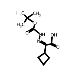 CC(C)(C)OC(=O)NN=C(C(=O)O)C1CCC1